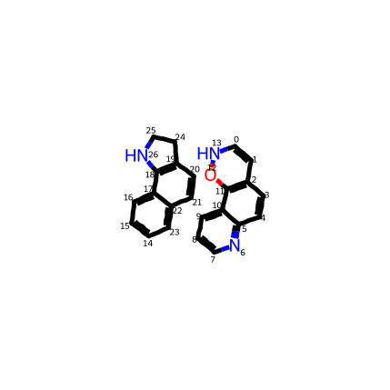 C1=Cc2ccc3ncccc3c2ON1.c1ccc2c3c(ccc2c1)CCN3